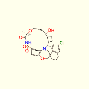 CC1C2CCC2C(O)C=CCO[C@@H](C)C(=O)NS(=O)(=O)c2ccc3c(c2)N1CC1(CCCc2cc(Cl)ccc21)CO3